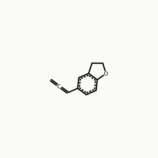 C=C=Cc1ccc2c(c1)CCO2